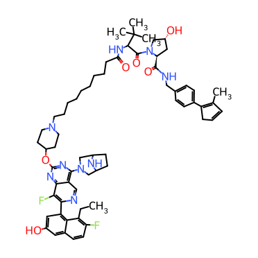 CCc1c(F)ccc2cc(O)cc(-c3ncc4c(N5CC6CCC(C5)N6)nc(OC5CCN(CCCCCCCCCC(=O)NC(C(=O)N6C[C@H](O)C[C@H]6C(=O)NCc6ccc(C7=C(C)C=CC7)cc6)C(C)(C)C)CC5)nc4c3F)c12